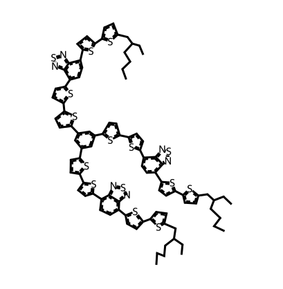 CCCCC(CC)Cc1ccc(-c2ccc(-c3ccc(-c4ccc(-c5ccc(-c6cc(-c7ccc(-c8ccc(-c9ccc(-c%10ccc(-c%11ccc(CC(CC)CCCC)s%11)s%10)c%10nsnc9%10)s8)s7)cc(-c7ccc(-c8ccc(-c9ccc(-c%10ccc(-c%11ccc(CC(CC)CCCC)s%11)s%10)c%10nsnc9%10)s8)s7)c6)s5)s4)c4nsnc34)s2)s1